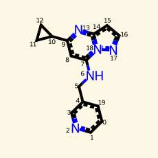 c1cncc(CNc2cc(C3CC3)nc3ccnn23)c1